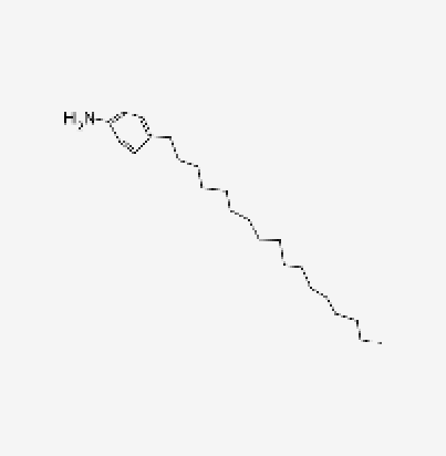 CCCCCCCCCCCCCCCCCc1ccc(N)cc1